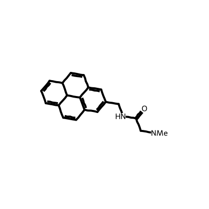 CNCC(=O)NCc1cc2c3c(c1)C=CC1C=CC=C(C=C2)C31